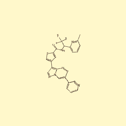 Cc1cccc(C(NC(=O)c2cc(-c3cnn4cc(-c5cccnc5)cnc34)cs2)C(F)(F)F)n1